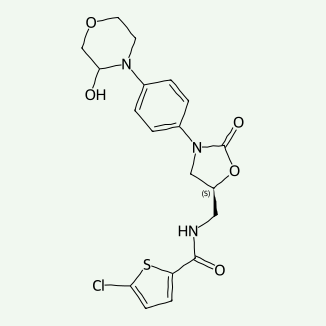 O=C(NC[C@H]1CN(c2ccc(N3CCOCC3O)cc2)C(=O)O1)c1ccc(Cl)s1